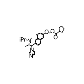 CC(C)N(C)C(C)C(c1ccc2cc(OCOC(=O)C3CCCC3)ccc2c1)n1ccnc1